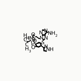 CC(C)CNS(=O)(=O)CCn1c(Sc2cc3c(cc2-c2cc[nH]n2)OCO3)nc2c(N)ncnc21